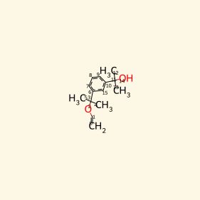 C=COC(C)(C)c1cccc(C(C)(C)O)c1